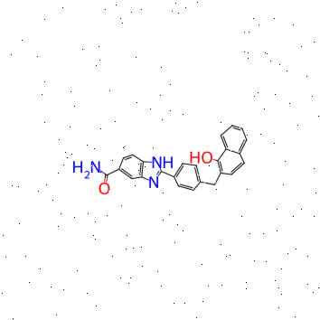 NC(=O)c1ccc2[nH]c(-c3ccc(Cc4ccc5ccccc5c4O)cc3)nc2c1